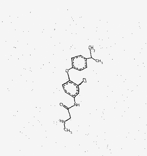 CNCC(=O)Nc1ccc(Oc2ccc(C(C)C)cc2)c(Cl)c1